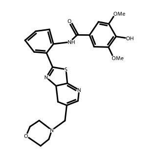 COc1cc(C(=O)Nc2ccccc2C2=NC3CC(CN4CCOCC4)=CN=C3S2)cc(OC)c1O